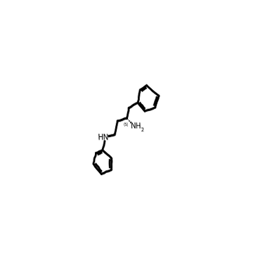 N[C@H](CCNc1ccccc1)Cc1ccccc1